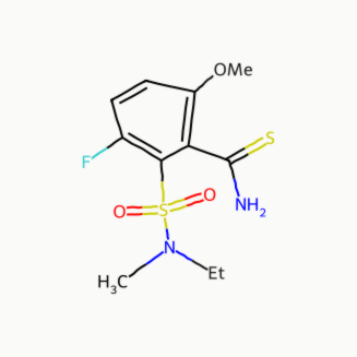 CCN(C)S(=O)(=O)c1c(F)ccc(OC)c1C(N)=S